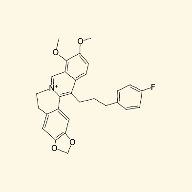 COc1ccc2c(CCCc3ccc(F)cc3)c3[n+](cc2c1OC)CCc1cc2c(cc1-3)OCO2